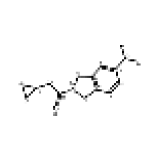 CC(C)c1ccc2c(c1)CN(C(=O)CC1CC1)C2